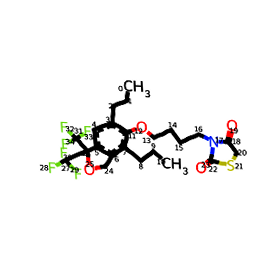 CCCc1cc2c(c(CCC)c1OCCCCN1C(=O)CSC1=O)COC2(C(F)(F)F)C(F)(F)F